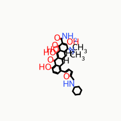 CN(C)[C@@H]1C(O)=C(C(N)=O)C(=O)[C@@]2(O)C(O)=C3C(=O)c4c(O)ccc(-c5ccc(CNC6CCCCC6)o5)c4C[C@H]3C[C@@H]12